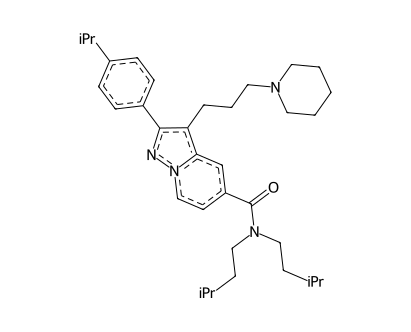 CC(C)CCN(CCC(C)C)C(=O)c1ccn2nc(-c3ccc(C(C)C)cc3)c(CCCN3CCCCC3)c2c1